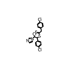 S=C(Cc1ccc(Cl)cc1)SC(c1ccc(Cl)cc1)C(Cl)n1ccnc1